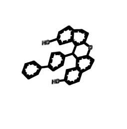 Oc1ccc2ccc3c(c2c1)C(c1ccc(-c2ccccc2)cc1)c1c(ccc2ccc(O)cc12)O3